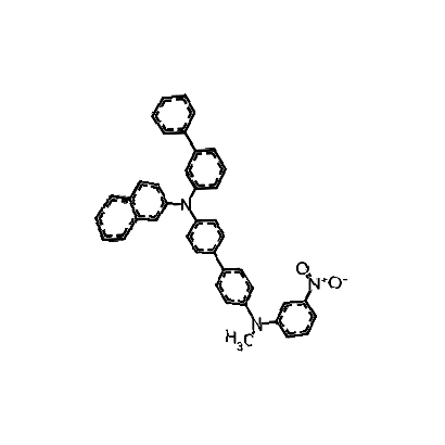 CN(c1ccc(-c2ccc(N(c3cccc(-c4ccccc4)c3)c3ccc4ccccc4c3)cc2)cc1)c1cccc([N+](=O)[O-])c1